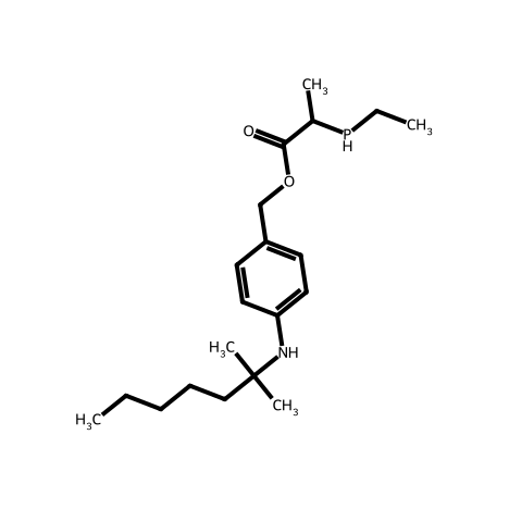 CCCCCC(C)(C)Nc1ccc(COC(=O)C(C)PCC)cc1